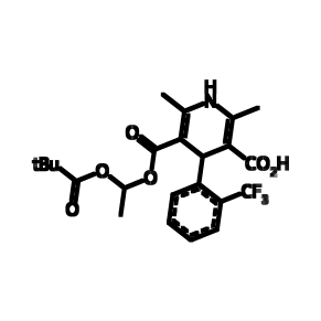 CC1=C(C(=O)O)C(c2ccccc2C(F)(F)F)C(C(=O)OC(C)OC(=O)C(C)(C)C)=C(C)N1